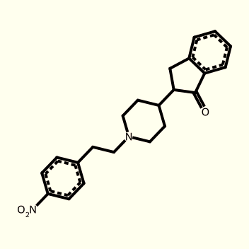 O=C1c2ccccc2CC1C1CCN(CCc2ccc([N+](=O)[O-])cc2)CC1